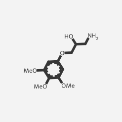 COc1cc(OCC(O)CN)cc(OC)c1OC